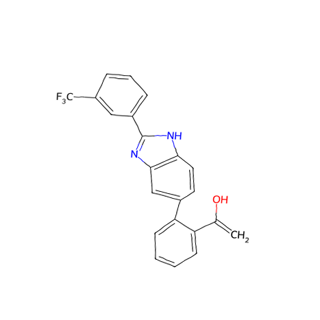 C=C(O)c1ccccc1-c1ccc2[nH]c(-c3cccc(C(F)(F)F)c3)nc2c1